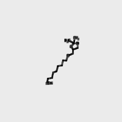 CCCCCCCCCCCCCCCCCCOCC1COC(C)(C)O1